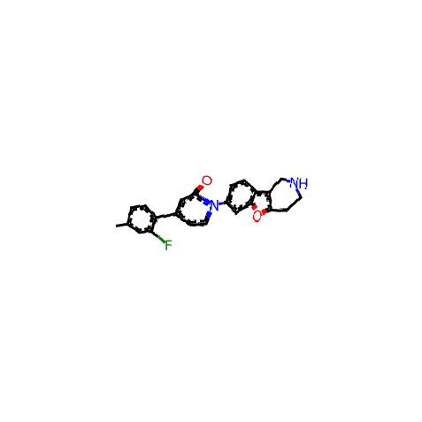 Cc1ccc(-c2ccn(-c3ccc4c5c(oc4c3)CCNC5)c(=O)c2)c(F)c1